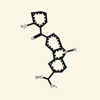 CCn1c2ccc(C(=O)c3ccccc3C)cc2c2cc(C(C)C=O)ccc21